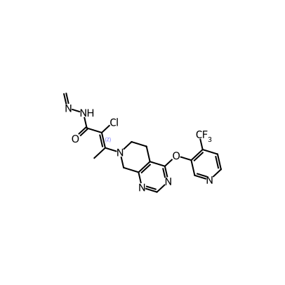 C=NNC(=O)/C(Cl)=C(\C)N1CCc2c(ncnc2Oc2cnccc2C(F)(F)F)C1